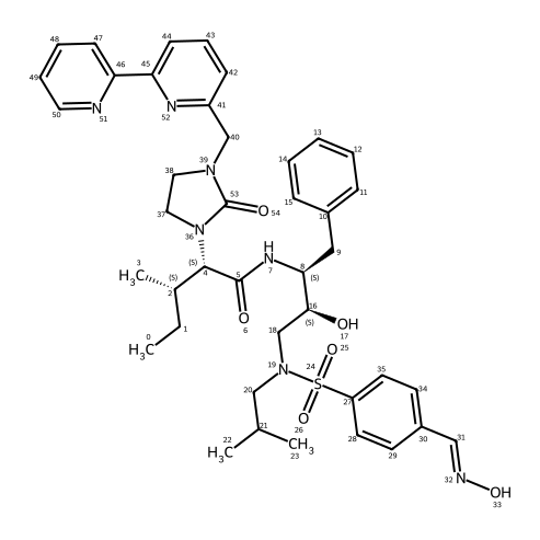 CC[C@H](C)[C@@H](C(=O)N[C@@H](Cc1ccccc1)[C@@H](O)CN(CC(C)C)S(=O)(=O)c1ccc(C=NO)cc1)N1CCN(Cc2cccc(-c3ccccn3)n2)C1=O